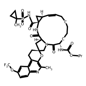 Cc1nc2ccc(OC(F)(F)F)cc2c2c1O[C@]1(CC2)C[C@H]2C(=O)N[C@]3(C(=O)NS(=O)(=O)C4(C)CC4)C[C@H]3/C=C\CCCCC[C@H](NC(=O)OC(C)C)C(=O)N2C1